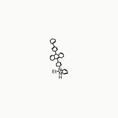 CCC1NC2C=CC=CC2N1C1C=CC(C2=C3CCC=CC3C(C3C=CC(C4=CCCCC4)=CC3)C3C=CCCC23)CC1